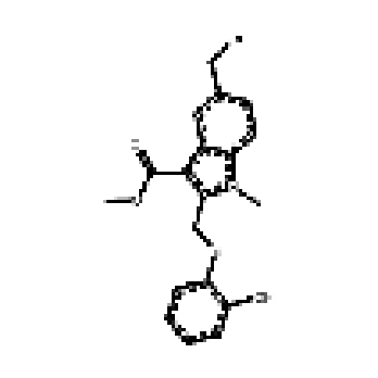 COC(=O)c1c(CSc2ccccc2O)n(C)c2ccc(CO)cc12